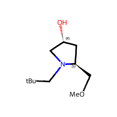 COC[C@@H]1C[C@@H](O)CN1CC(C)(C)C